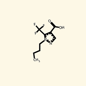 CCCCn1ncc(C(=O)O)c1C(F)(F)F